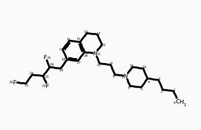 CCCCC1CCN(CCCN2CCCc3ccc(CC(F)C(F)CCF)cc32)CC1